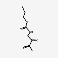 C=C(C)C(=O)ONC(=O)NCCC